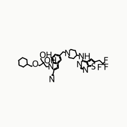 N#Cc1cc2cc(CN3CCC(Nc4ncnc5sc(CC(F)(F)F)cc45)CC3)ccc2n1CC(O)(CO)COCC1CCCCC1